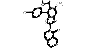 Cc1cc2nc(-n3ccc4ccncc4c3=O)sc2c(-c2ccc(Cl)cc2)c1C(OC(C)(C)C)C(=O)O